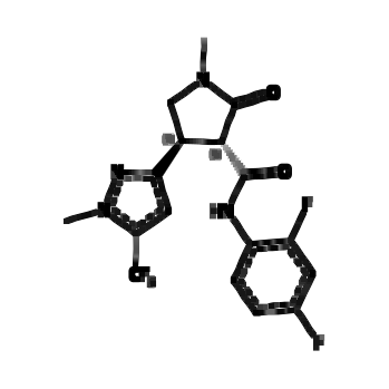 CN1C[C@H](c2cc(C(F)(F)F)n(C)n2)[C@@H](C(=O)Nc2ccc(F)cc2F)C1=O